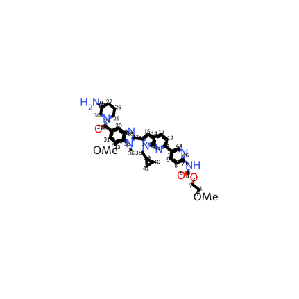 COCCOC(=O)Nc1ccc(-c2ccc3cc(-c4nc5cc(C(=O)N6CCC[C@@H](N)C6)cc(OC)c5n4C)n(CC4CC4)c3n2)cn1